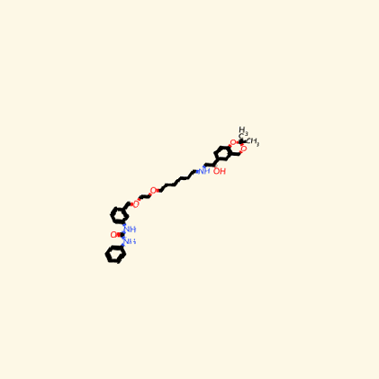 CC1(C)OCc2cc([C@H](O)CNCCCCCCOCCOCc3cccc(NC(=O)Nc4ccccc4)c3)ccc2O1